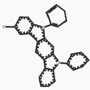 Clc1ccc2c(c1)c1cc3c4ccccc4n(-c4ccccc4)c3cc1n2C1=CCCC=C1